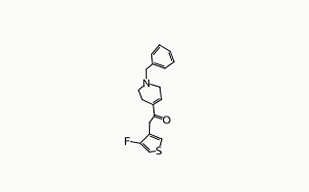 O=C(Cc1cscc1F)C1=CCN(Cc2ccccc2)CC1